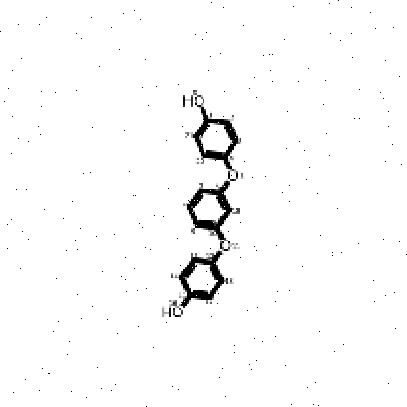 Oc1ccc(Oc2cccc(Oc3ccc(O)cc3)c2)cc1